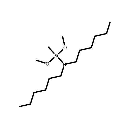 CCCCCCN(CCCCCC)[Si](C)(OC)OC